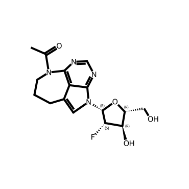 CC(=O)N1CCCc2cn([C@@H]3O[C@H](CO)[C@@H](O)[C@@H]3F)c3ncnc1c23